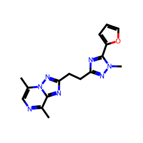 Cc1ncc(C)n2nc(CCc3nc(-c4ccco4)n(C)n3)nc12